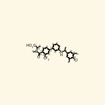 Cc1cc(C(C)Nc2cccc(-c3ccc(C(=O)N(C)C(C)C(=O)O)c(C(F)(F)F)c3)c2)cc(C)c1Cl